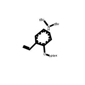 C=Cc1ccccc1OCCCCCC.CC(C)(C)NC(C)(C)C